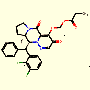 CCC(=O)OCOc1c2n(ncc1=O)[C@@H](C(c1ccccc1)c1cccc(F)c1F)[C@H]1CCCN1C2=O